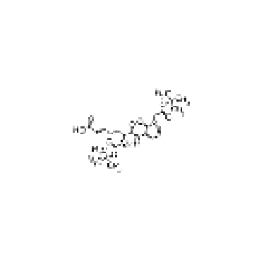 CC(C)(C)OC(=O)Cn1cccc(NC(=O)C(CCC=CC(=O)O)NC(=O)OC(C)(C)C)c1=O